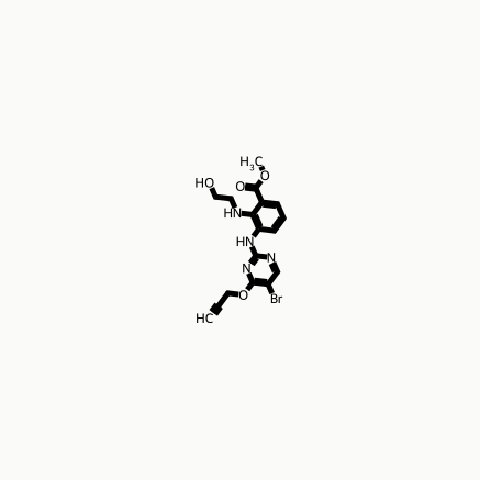 C#CCOc1nc(Nc2cccc(C(=O)OC)c2NCCO)ncc1Br